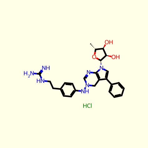 C[C@H]1O[C@@H](n2cc(-c3ccccc3)c3c2N=CN(Nc2ccc(CCNC(=N)N)cc2)C3)[C@H](O)[C@@H]1O.Cl